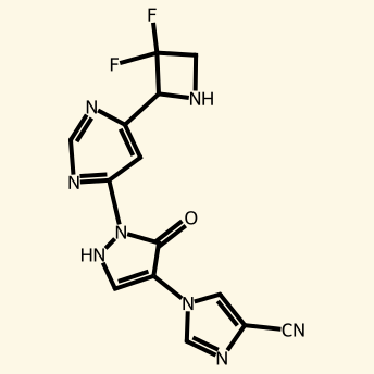 N#Cc1cn(-c2c[nH]n(-c3cc(C4NCC4(F)F)ncn3)c2=O)cn1